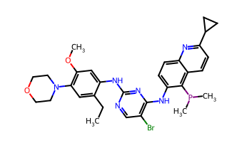 CCc1cc(N2CCOCC2)c(OC)cc1Nc1ncc(Br)c(Nc2ccc3nc(C4CC4)ccc3c2P(C)C)n1